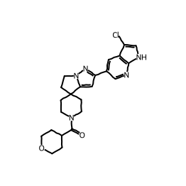 O=C(C1CCOCC1)N1CCC2(CC1)CCn1nc(-c3cnc4[nH]cc(Cl)c4c3)cc12